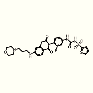 O=C(Nc1ccc(N2C(=O)Cc3cc(NCCCN4CCOCC4)ccc3C2=O)c(F)c1)NS(=O)(=O)c1cccs1